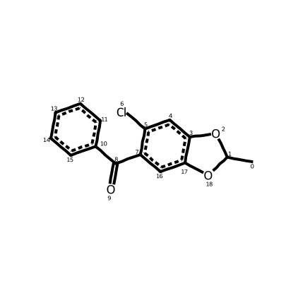 CC1Oc2cc(Cl)c(C(=O)c3ccccc3)cc2O1